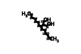 CCCCCCCC(CCCCCC)C(CO)CO